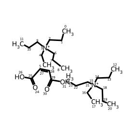 CCC[N+](CC)(CCC)CCC.CCC[N+](CC)(CCC)CCC.O=C(O)/C=C\C(=O)O